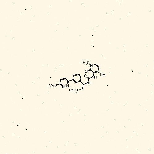 CCOC(=O)C[C@H](NC(=O)Nc1c(O)ccn(C)c1=O)c1cccc(-c2ccc(OC)nn2)c1